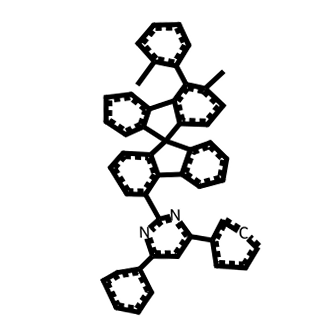 Cc1ccccc1-c1c(C)ccc2c1-c1ccccc1C21c2ccccc2-c2c(-c3nc(-c4ccccc4)cc(-c4ccccc4)n3)cccc21